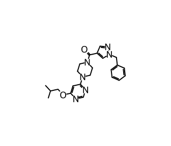 CC(C)COc1cc(N2CCN(C(=O)c3cnn(Cc4ccccc4)c3)CC2)ncn1